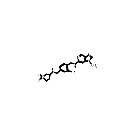 CCc1cc(CNC2CCS(=O)(=O)C2)ccc1CNc1cc2c(cn1)ncn2C